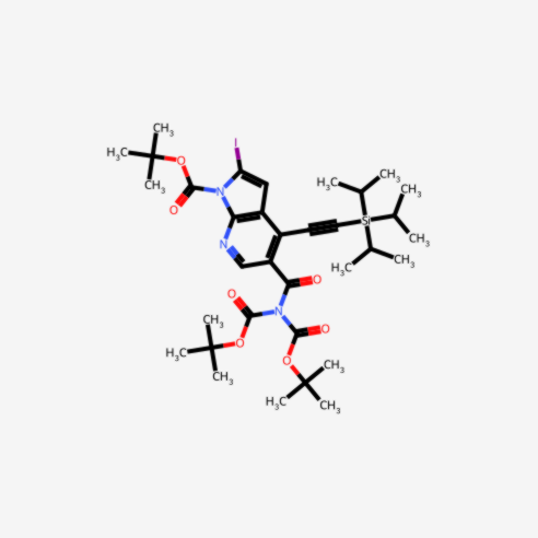 CC(C)[Si](C#Cc1c(C(=O)N(C(=O)OC(C)(C)C)C(=O)OC(C)(C)C)cnc2c1cc(I)n2C(=O)OC(C)(C)C)(C(C)C)C(C)C